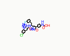 O=C(O)Nc1ccc(-c2cc(C(Cc3cccc(F)c3)NC(=O)C=Cc3cc(Cl)ccc3-n3cnnn3)n[nH]c2=O)cc1